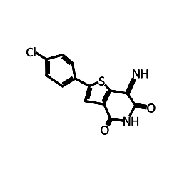 N=C1C(=O)NC(=O)c2cc(-c3ccc(Cl)cc3)sc21